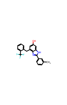 Cc1cccc(-c2nc3c(Cc4ccccc4C(F)(F)F)cc(O)cc3[nH]2)c1